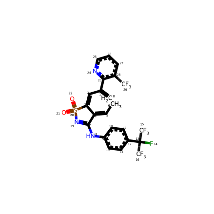 C=C(/C=C1\C(=C/C)C(Nc2ccc(C(F)(C(F)(F)F)C(F)(F)F)cc2)=NS1(=O)=O)c1ncccc1C(F)(F)F